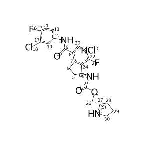 Cl.O=C(N[C@H]1CCc2c(C(=O)Nc3ccc(F)c(Cl)c3)ccc(F)c21)OC[C@@H]1CCCN1